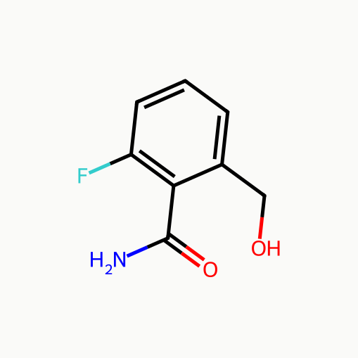 NC(=O)c1c(F)cccc1CO